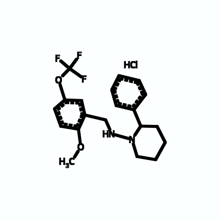 COc1ccc(OC(F)(F)F)cc1CNN1CCCCC1c1ccccc1.Cl